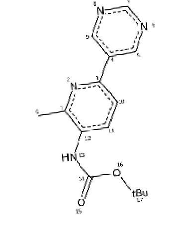 Cc1nc(-c2cncnc2)ccc1NC(=O)OC(C)(C)C